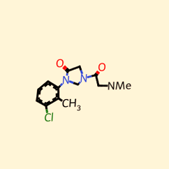 CNCC(=O)N1CC(=O)N(c2cccc(Cl)c2C)C1